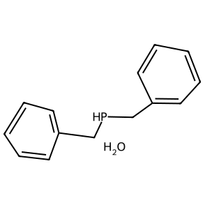 O.c1ccc(CPCc2ccccc2)cc1